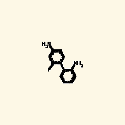 Nc1ccc(-c2ccccc2N)c(F)c1